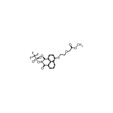 COC(=O)COCCSc1ccc2c3c(cccc13)C(=O)N(OS(=O)(=O)C(F)(F)F)C2=O